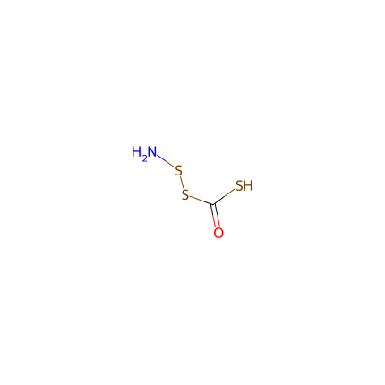 NSSC(=O)S